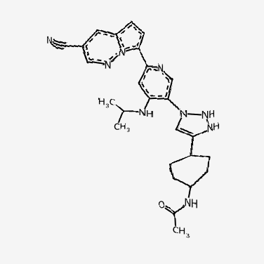 CC(=O)NC1CCC(C2=CN(c3cnc(-c4ccc5cc(C#N)cnn45)cc3NC(C)C)NN2)CC1